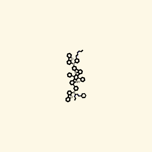 C=C/C=C\C=C\c1cccc(N(c2ccc3c(c2)c2cccc4c5c(-c6ccccc6)c6[nH]c7c(-c8cccc(N(C(/C=C/C9=CCCC=C9)=C/C=C)c9cccc%10c9oc9ccccc9%10)c8)cccc7c6c(-c6ccccc6)c5n3c24)c2cccc3c2oc2ccccc23)c1